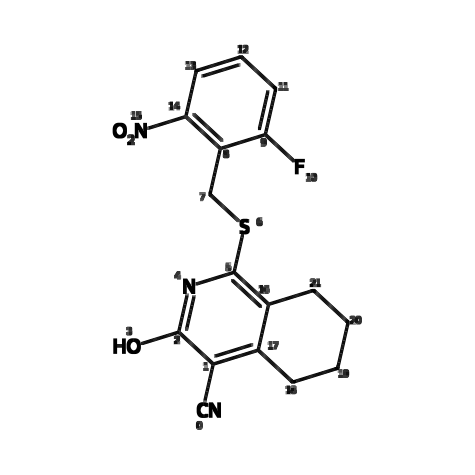 N#Cc1c(O)nc(SCc2c(F)cccc2[N+](=O)[O-])c2c1CCCC2